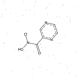 O=C(c1cnccn1)N(O)Cl